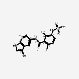 CCCS(=O)(=O)Nc1ccc(F)c(C(=O)Nc2cnc3[nH]cc(Br)c3c2)c1F